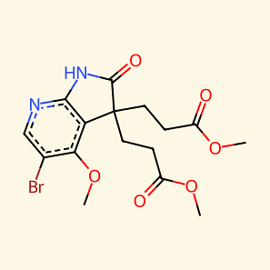 COC(=O)CCC1(CCC(=O)OC)C(=O)Nc2ncc(Br)c(OC)c21